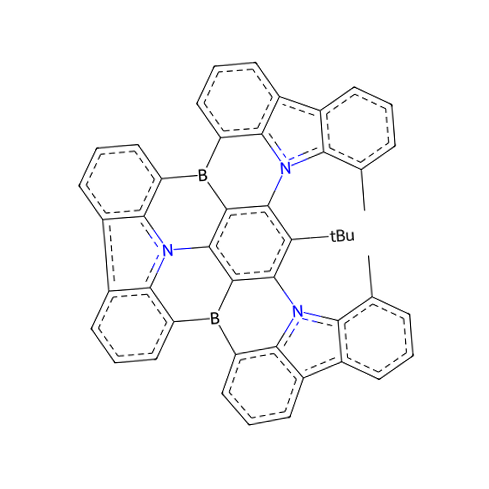 Cc1cccc2c3cccc4c3n(c12)-c1c2c3c5c(c1C(C)(C)C)-n1c6c(C)cccc6c6cccc(c61)B5c1cccc5c6cccc(c6n-3c15)B24